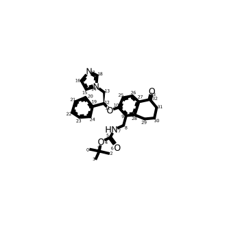 CC(C)(C)OC(=O)NCc1c(O[C@H](Cn2ccnc2)c2ccccc2)ccc2c1CCCC2=O